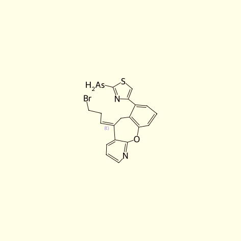 [AsH2]c1nc(-c2cccc3c2C/C(=C\CCBr)c2cccnc2O3)cs1